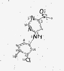 C[S+]([O-])c1cc(Nc2ccc(F)c(Cl)c2)ncn1